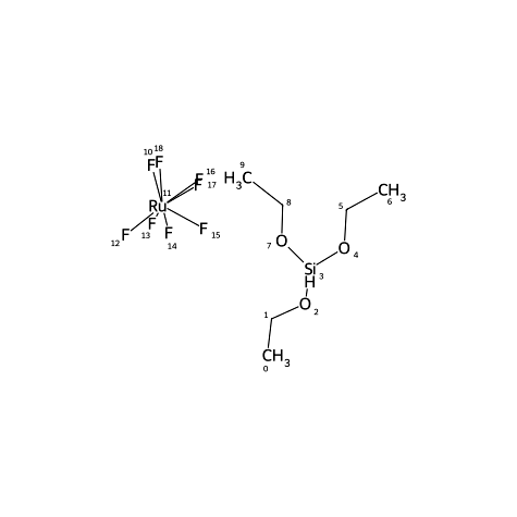 CCO[SiH](OCC)OCC.[F][Ru]([F])([F])([F])([F])([F])([F])[F]